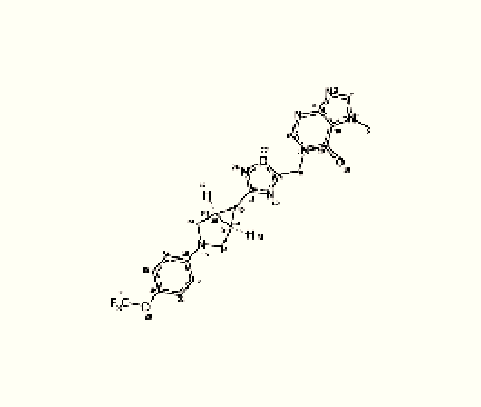 Cn1cnc2ncn(Cc3nc(C4[C@H]5CN(c6ccc(OC(F)(F)F)cc6)C[C@@H]45)no3)c(=O)c21